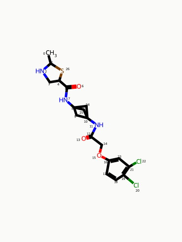 CC1NCC(C(=O)NC23CC(NC(=O)COc4ccc(Cl)c(Cl)c4)(C2)C3)S1